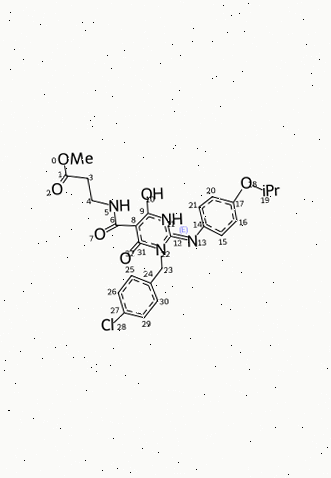 COC(=O)CCNC(=O)c1c(O)[nH]/c(=N\c2ccc(OC(C)C)cc2)n(Cc2ccc(Cl)cc2)c1=O